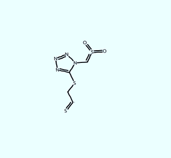 O=S(=O)=Cn1nnnc1SC[C]=S